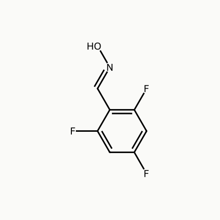 ON=Cc1c(F)cc(F)cc1F